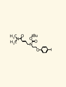 CN(C)C(=O)/C=C/CN(CCOc1ccc(I)cc1)C(=O)OC(C)(C)C